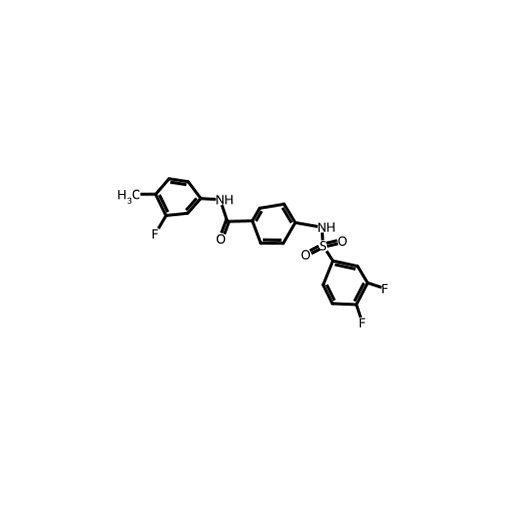 Cc1ccc(NC(=O)c2ccc(NS(=O)(=O)c3ccc(F)c(F)c3)cc2)cc1F